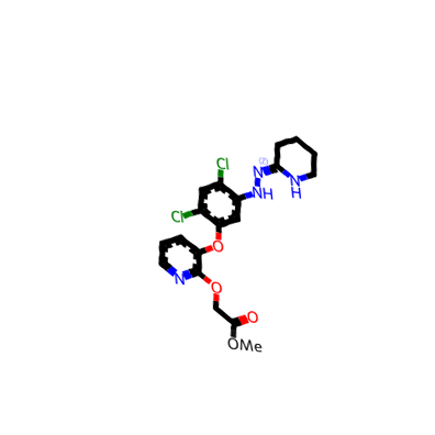 COC(=O)COc1ncccc1Oc1cc(N/N=C2/CCCCN2)c(Cl)cc1Cl